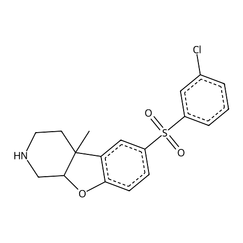 CC12CCNCC1Oc1ccc(S(=O)(=O)c3cccc(Cl)c3)cc12